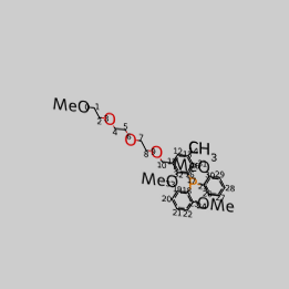 COCCOCCOCCOCc1cc(C)cc(P(c2ccccc2OC)c2ccccc2OC)c1OC